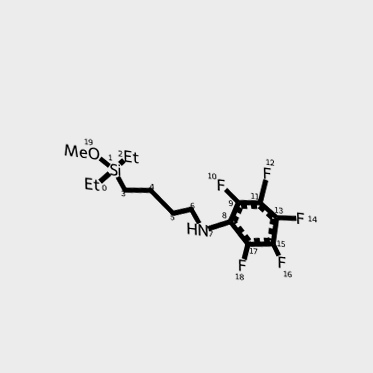 CC[Si](CC)(CCCCNc1c(F)c(F)c(F)c(F)c1F)OC